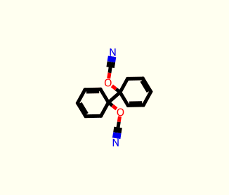 N#COC1(C2(OC#N)C=CC=CC2)C=CC=CC1